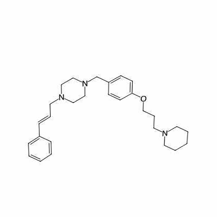 C(=C\c1ccccc1)/CN1CCN(Cc2ccc(OCCCN3CCCCC3)cc2)CC1